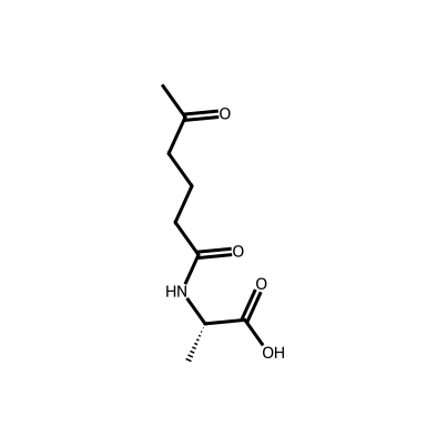 CC(=O)CCCC(=O)N[C@@H](C)C(=O)O